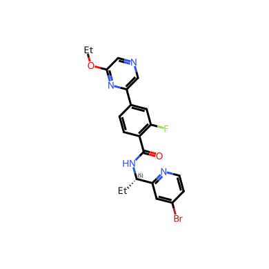 CCOc1cncc(-c2ccc(C(=O)N[C@@H](CC)c3cc(Br)ccn3)c(F)c2)n1